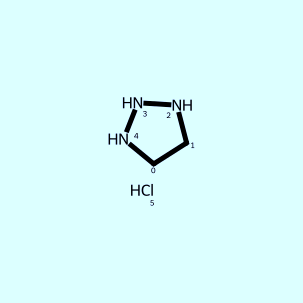 C1CNNN1.Cl